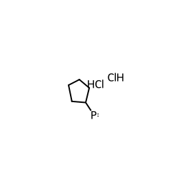 Cl.Cl.[P]C1CCCC1